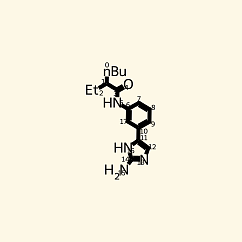 CCCCC(CC)C(=O)Nc1cccc(-c2cnc(N)[nH]2)c1